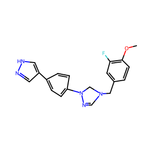 COc1ccc(CN2C=NN(c3ccc(-c4cn[nH]c4)cc3)C2)cc1F